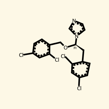 Clc1ccc(CO[C@H](Cc2ccc(Cl)cc2Cl)n2ccnc2)c(Cl)c1